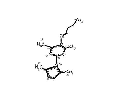 CCCCOc1c(C)nc(-n2c(C)ccc2C)nc1C